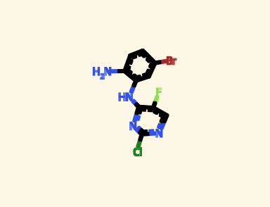 Nc1ccc(Br)cc1Nc1nc(Cl)ncc1F